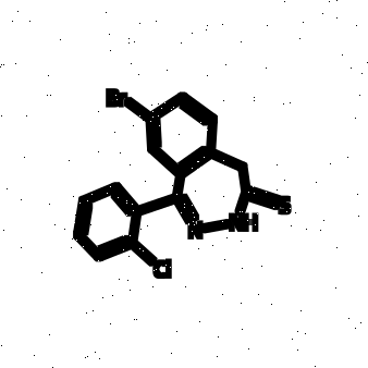 S=C1Cc2ccc(Br)cc2C(c2ccccc2Cl)=NN1